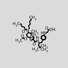 CCCCCCN(C(=O)CCCC)C(CC(OC(C)=O)c1nc(C(=O)NC(Cc2ccc(NCC(=O)O)cc2)CC(C)(C)C)cs1)C(C)C